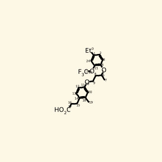 CCc1ccc(OC(C)CCOc2ccc(CCC(=O)O)c(C)c2)c(OC(F)(F)F)c1